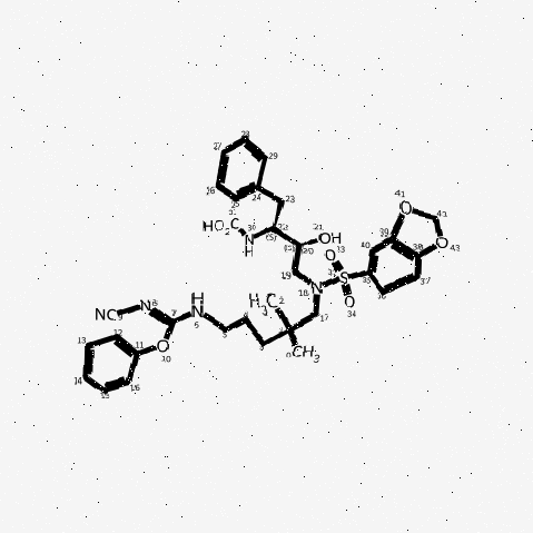 CC(C)(CCCNC(=NC#N)Oc1ccccc1)CN(C[C@H](O)[C@H](Cc1ccccc1)NC(=O)O)S(=O)(=O)c1ccc2c(c1)OCO2